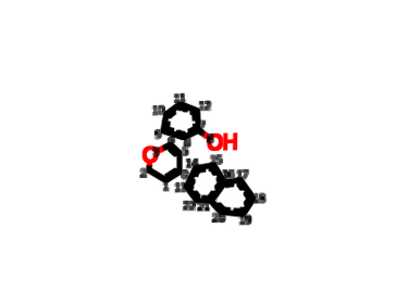 C1=CCOC=C1.Oc1ccccc1.c1ccc2ccccc2c1